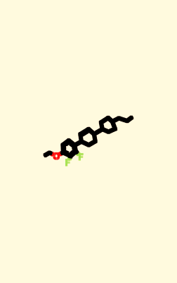 CCCC1CCC(C2C=CC(c3ccc(OCC)c(F)c3F)CC2)CC1